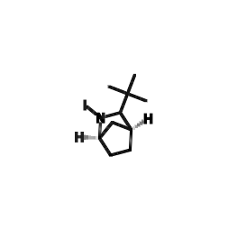 CC(C)(C)C1[C@H]2CC[C@H](C2)N1I